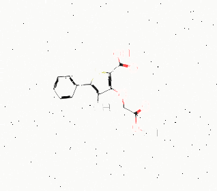 COC(=O)COc1c(C(=O)O)sc(-c2ccccc2)c1C